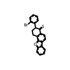 S=C1c2ccc3c(oc4ccccc43)c2CCC1c1ccccc1Br